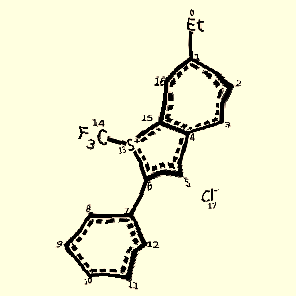 CCc1ccc2cc(-c3ccccc3)[s+](C(F)(F)F)c2c1.[Cl-]